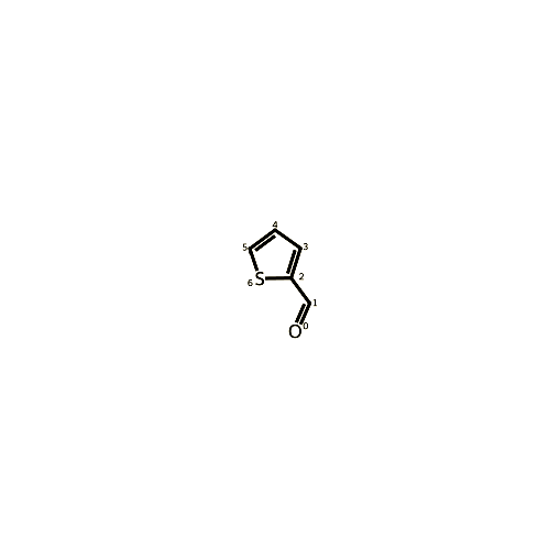 O=Cc1cc[c]s1